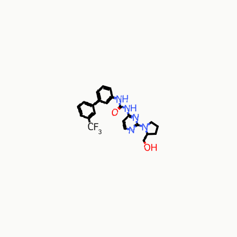 O=C(Nc1cccc(-c2cccc(C(F)(F)F)c2)c1)Nc1ccnc(N2CCCC2CO)n1